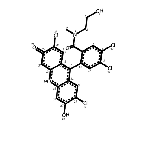 CN(CCO)C(=O)c1cc(Cl)c(Cl)cc1-c1c2cc(Cl)c(=O)cc-2oc2cc(O)c(Cl)cc12